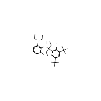 CCN(CC)c1cccc(C)c1PC(CC)(CC)c1cc(C(C)(C)C)cc(C(C)(C)C)c1O